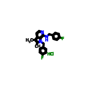 Cc1c(C)n(Cc2ccc(F)cc2)c2c(NCc3ccc(F)cc3)nccc12.Cl